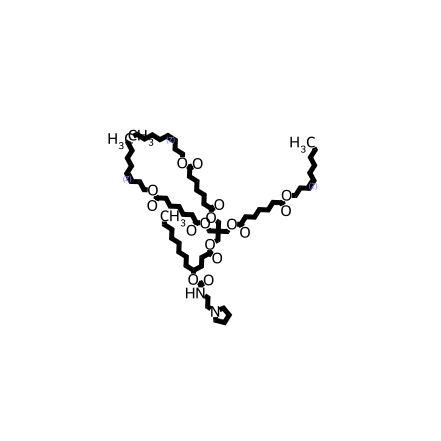 CCCCC/C=C\CCOC(=O)CCCCCC(=O)OCC(COC(=O)CCCCCC(=O)OCC/C=C\CCCCC)(COC(=O)CCCCCC(=O)OCC/C=C\CCCCC)COC(=O)CCC(CCCCCCCC)OC(=O)NCCN1CCCC1